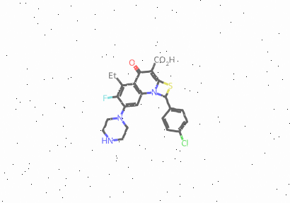 CCc1c(F)c(N2CCNCC2)cc2c1c(=O)c(C(=O)O)c1n2C(c2ccc(Cl)cc2)S1